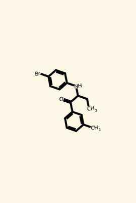 CCC(Nc1ccc(Br)cc1)C(=O)c1cccc(C)c1